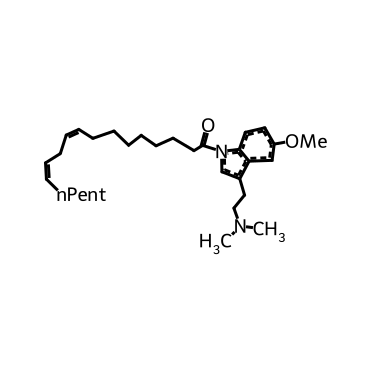 CCCCC/C=C\C/C=C\CCCCCCCC(=O)n1cc(CCN(C)C)c2cc(OC)ccc21